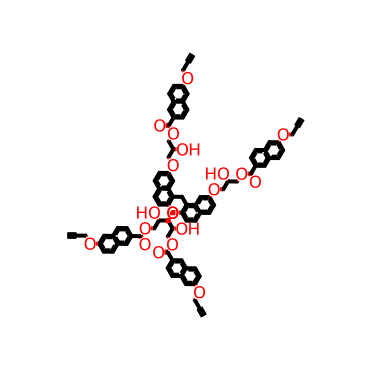 C#CCOc1ccc2cc(C(=O)OCC(O)COc3ccc4ccc(OCC(O)COC(=O)c5ccc6cc(OCC#C)ccc6c5)c(Cc5c(OCC(O)COC(=O)c6ccc7cc(OCC#C)ccc7c6)ccc6ccc(OCC(O)COC(=O)c7ccc8cc(OCC#C)ccc8c7)cc56)c4c3)ccc2c1